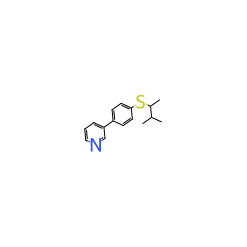 CC(C)C(C)Sc1ccc(-c2cccnc2)cc1